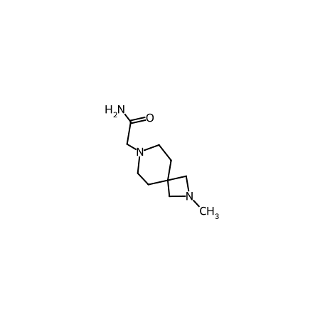 CN1CC2(CCN(CC(N)=O)CC2)C1